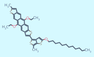 CCCCCCCCCCCCOc1cc2c(-c3cc4cc5c(OCC)c6cc7sc(C)cc7cc6c(OCC)c5cc4s3)sc(C)c2s1